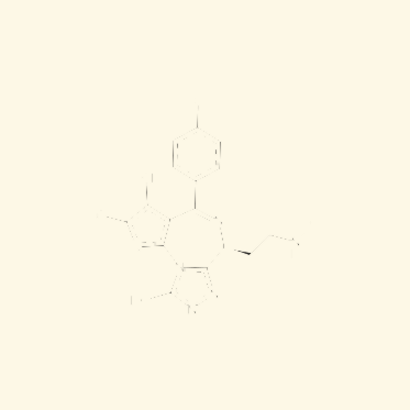 Cc1sc2c(c1C)C(c1ccc(Cl)cc1)=N[C@@H](CCNO)c1nnc(C)n1-2